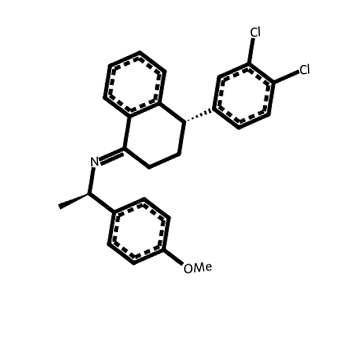 COc1ccc([C@@H](C)N=C2CC[C@@H](c3ccc(Cl)c(Cl)c3)c3ccccc32)cc1